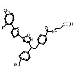 CC(C)(C)c1ccc(C(Cc2ccc(C(=O)NCCS(=O)(=O)O)cc2)c2cc(-c3ccc(-c4ccc(C(F)(F)F)cc4F)s3)on2)cc1